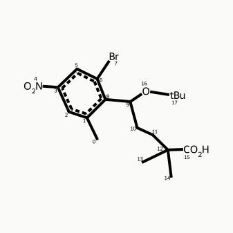 Cc1cc([N+](=O)[O-])cc(Br)c1C(CCC(C)(C)C(=O)O)OC(C)(C)C